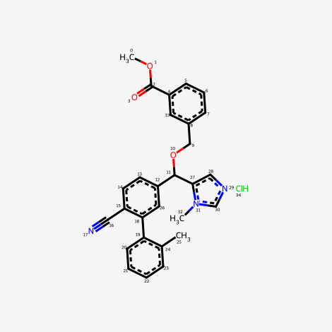 COC(=O)c1cccc(COC(c2ccc(C#N)c(-c3ccccc3C)c2)c2cncn2C)c1.Cl